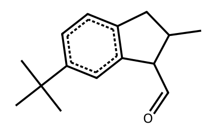 CC1Cc2ccc(C(C)(C)C)cc2C1C=O